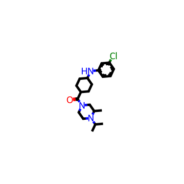 CC(C)N1CCN(C(=O)C2CCC(Nc3cccc(Cl)c3)CC2)CC1C